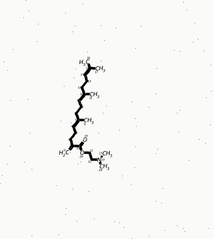 C=C(CC/C=C(\C)CC/C=C(\C)CCC=C(C)C)C(=O)OCCN(C)C